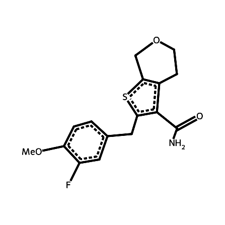 COc1ccc(Cc2sc3c(c2C(N)=O)CCOC3)cc1F